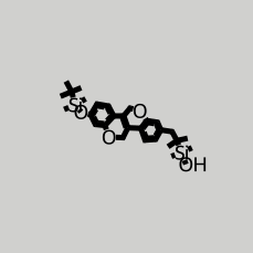 CC(C)(Cc1ccc2c(c1)OCC1=C2COc2cc(O[Si](C)(C)C(C)(C)C)ccc21)[Si](C)(C)O